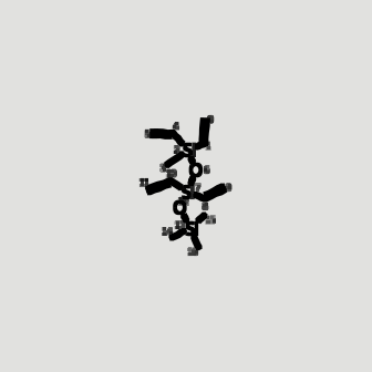 C=C[Si](C)(C=C)O[Si](C=C)(C=C)O[Si](C)(C)C